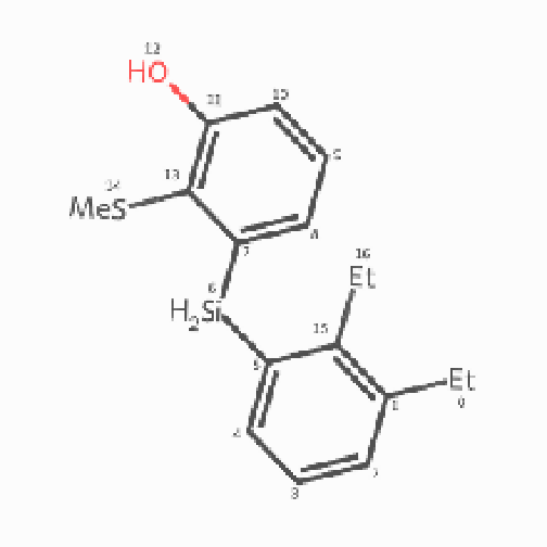 CCc1cccc([SiH2]c2cccc(O)c2SC)c1CC